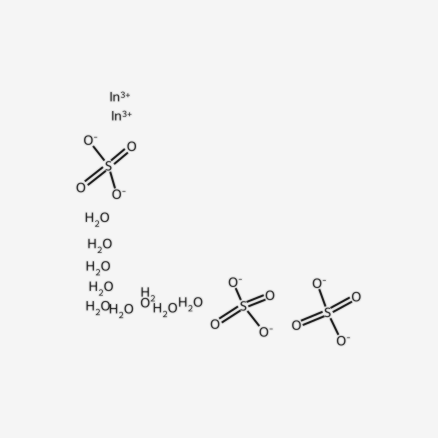 O.O.O.O.O.O.O.O.O.O=S(=O)([O-])[O-].O=S(=O)([O-])[O-].O=S(=O)([O-])[O-].[In+3].[In+3]